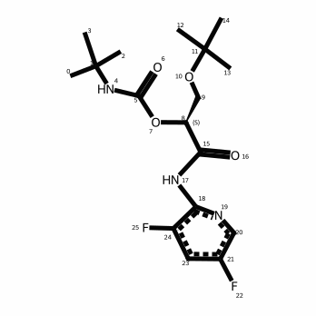 CC(C)(C)NC(=O)O[C@@H](COC(C)(C)C)C(=O)Nc1ncc(F)cc1F